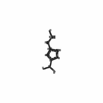 CBOn1cc(C(C)C)cn1